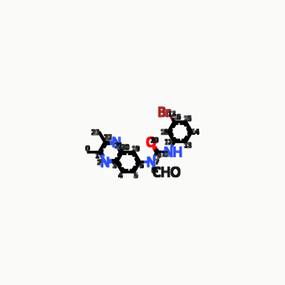 Cc1nc2ccc(N(C=O)C(=O)Nc3cccc(Br)c3)cc2nc1C